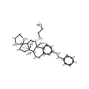 C[C@]12C[C@H](OCCO)[C@@H]3c4ccc(OCc5ccccc5)cc4CC[C@H]3[C@@H]1CCC21OCCO1